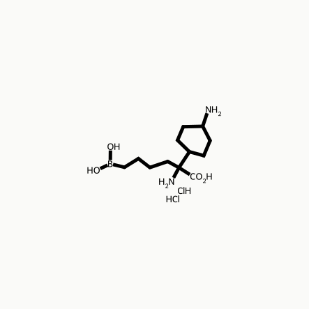 Cl.Cl.NC1CCC(C(N)(CCCCB(O)O)C(=O)O)CC1